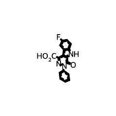 O=C(O)c1nn(-c2ccccc2)c(=O)c2[nH]c3ccc(F)cc3c12